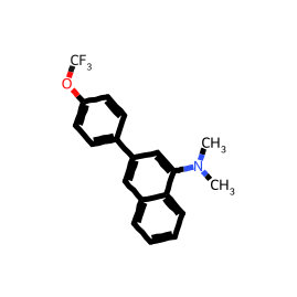 CN(C)c1cc(-c2ccc(OC(F)(F)F)cc2)cc2ccccc12